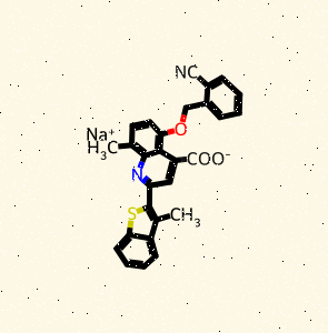 Cc1c(-c2cc(C(=O)[O-])c3c(OCc4ccccc4C#N)ccc(C)c3n2)sc2ccccc12.[Na+]